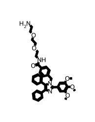 COc1cc(-c2nc(-c3ccccc3)c(-c3ccccc3)n2Cc2ccc(C(=O)NCCOCCOCCN)cc2)cc(OC)c1OC